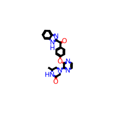 CC1CN(c2nccnc2Oc2ccc(C(=O)c3nc4ccccc4[nH]3)cc2)CC(=O)N1